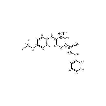 CN(C)Cc1ccc(SC2CCN(C(=S)SCc3ccccc3)CC2)cc1.Cl